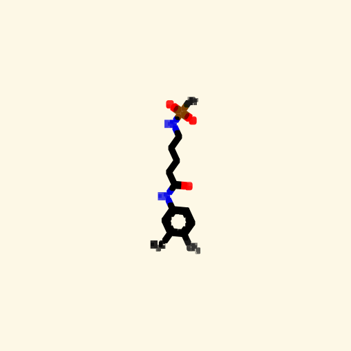 Cc1cc(NC(=O)CCCCNS(=O)(=O)C(C)C)ccc1C(F)(F)F